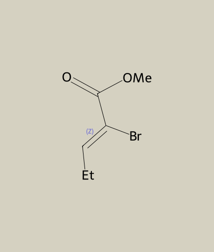 CC/C=C(\Br)C(=O)OC